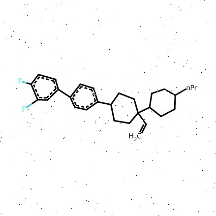 C=CC1(C2CCC(CCC)CC2)CCC(c2ccc(-c3ccc(F)c(F)c3)cc2)CC1